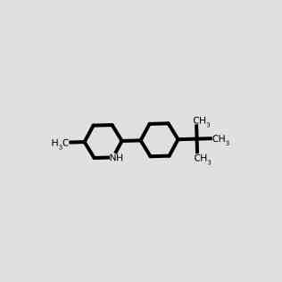 CC1CCC(C2CCC(C(C)(C)C)CC2)NC1